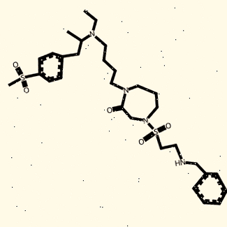 CCN(CCCCN1CCCN(S(=O)(=O)CCNCc2ccccc2)CC1=O)C(C)Cc1ccc(S(C)(=O)=O)cc1